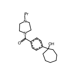 CC(C)N1CCN(C(=O)c2ccc(C3(O)CCCCCC3)cc2)CC1